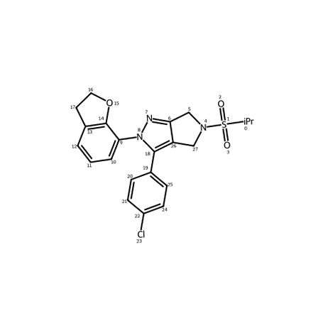 CC(C)S(=O)(=O)N1Cc2nn(-c3cccc4c3OCC4)c(-c3ccc(Cl)cc3)c2C1